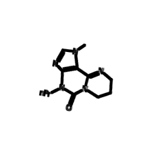 CCCN1C(=O)N2CCCN=C2c2c1ncn2C